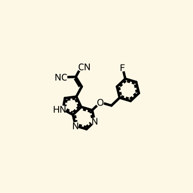 N#CC(C#N)=Cc1c[nH]c2ncnc(OCc3cccc(F)c3)c12